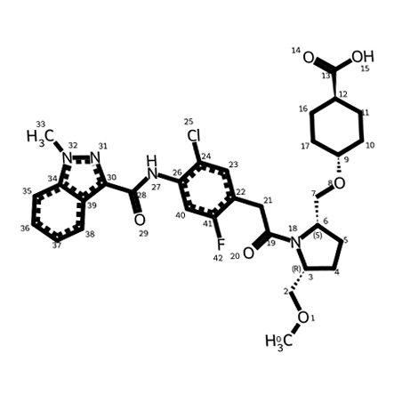 COC[C@H]1CC[C@@H](CO[C@H]2CC[C@H](C(=O)O)CC2)N1C(=O)Cc1cc(Cl)c(NC(=O)c2nn(C)c3ccccc23)cc1F